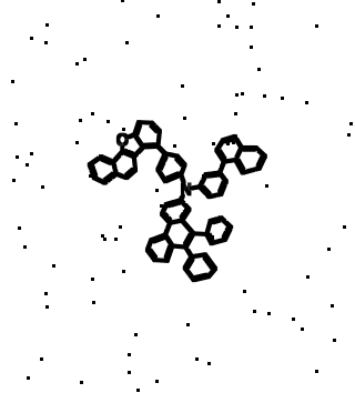 c1ccc(-c2c(-c3ccccc3)c3cc(N(c4ccc(-c5cccc6oc7c8ccccc8ccc7c56)cc4)c4cccc(-c5cccc6ccccc56)c4)ccc3c3ccccc23)cc1